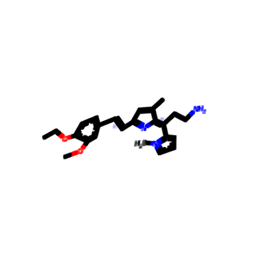 Bn1cccc1/C(CCN)=C1N=C(/C=C/c2ccc(OCC)c(OC)c2)C=C\1C